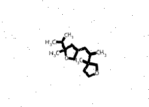 CC(CC1COC(C)(C(C)C)C1)C1(C)CCOC1